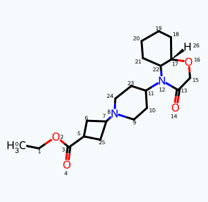 CCOC(=O)C1CC(N2CCC(N3C(=O)CO[C@H]4CCCCC43)CC2)C1